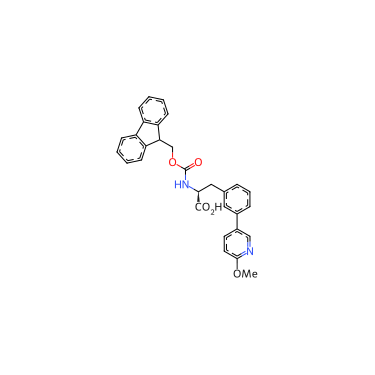 COc1ccc(-c2cccc(C[C@H](NC(=O)OCC3c4ccccc4-c4ccccc43)C(=O)O)c2)cn1